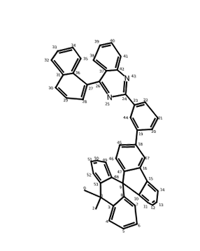 CC1(C)c2ccccc2C2(c3ccccc3-c3cc(-c4cccc(-c5nc(-c6cccc7ccccc67)c6ccccc6n5)c4)ccc32)c2ccccc21